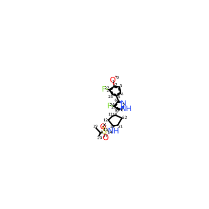 COc1ccc(-c2n[nH]c([C@H]3CC[C@H](NS(=O)(=O)C(C)C)CC3)c2F)cc1F